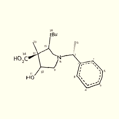 C[C@H](c1ccccc1)N1CC(O)[C@@](C)(C(=O)O)C1C(C)(C)C